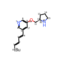 CC(C)(C)C=CC=Cc1cncc(OC[C@H]2CCCN2)c1